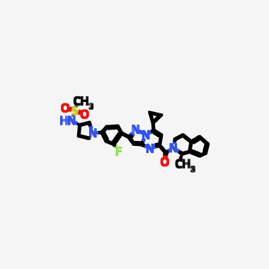 C[C@@H]1c2ccccc2CCN1C(=O)c1cc(C2CC2)n2nc(-c3ccc(N4CC[C@@H](NS(C)(=O)=O)C4)cc3F)cc2n1